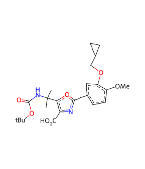 COc1ccc(-c2nc(C(=O)O)c(C(C)(C)NC(=O)OC(C)(C)C)o2)cc1OCC1CC1